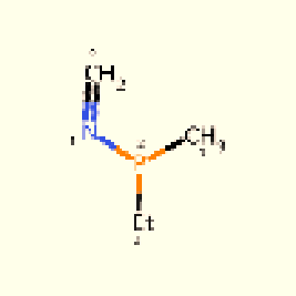 C=NP(C)CC